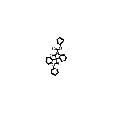 O=C(Oc1ccccc1)N1C(=O)C(C(=O)Oc2ccccc2)(c2ccccc2)c2ccccc21